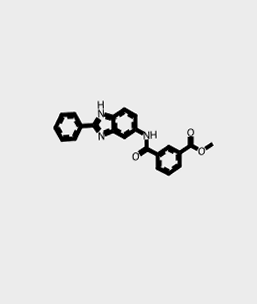 COC(=O)c1cccc(C(=O)Nc2ccc3[nH]c(-c4ccccc4)nc3c2)c1